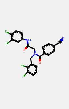 N#Cc1ccc(C(=O)N(CC(=O)Nc2ccc(F)c(Cl)c2)Cc2cccc(F)c2F)cc1